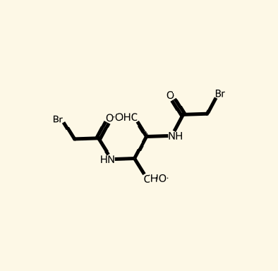 O=[C]C(NC(=O)CBr)C([C]=O)NC(=O)CBr